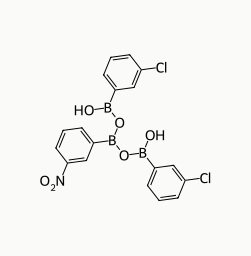 O=[N+]([O-])c1cccc(B(OB(O)c2cccc(Cl)c2)OB(O)c2cccc(Cl)c2)c1